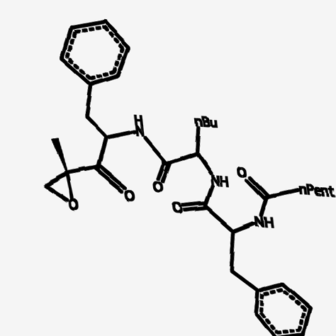 CCCCCC(=O)NC(Cc1ccccc1)C(=O)NC(CCCC)C(=O)NC(Cc1ccccc1)C(=O)[C@@]1(C)CO1